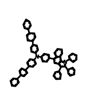 c1ccc(-c2ccc(-c3ccc(N(c4ccc(-c5ccc(-c6ccccc6)cc5)cc4)c4ccc(-c5cc6c(-c7ccccc7)c(-c7ccccc7)n(-c7ccccc7)c6c6ccccc56)cc4)cc3)cc2)cc1